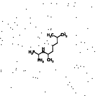 CC(C)CCCC(C)NC(P)P